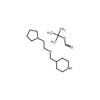 C1CCN(CCOCC2CCNCC2)C1.CC(C)(C)OC=O